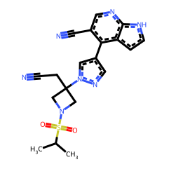 CC(C)S(=O)(=O)N1CC(CC#N)(n2cc(-c3c(C#N)cnc4[nH]ccc34)cn2)C1